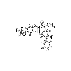 C[C@@H](C(=O)NCc1ccc(OC(F)(F)F)cc1)c1ccc(-c2ccccc2)c(F)c1